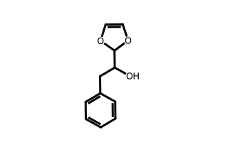 OC(Cc1ccccc1)C1OC=CO1